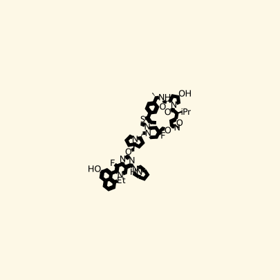 CCc1cccc2cc(O)cc(-c3ncc4c(N5CC6CCC(C5)N6)nc(OC[C@@]56CCCN5[C@H](CN5CCC(F)(COc7cc([C@@H](C(=O)N8C[C@H](O)C[C@H]8C(=O)N[C@@H](C)c8ccc(-c9scnc9C)cc8)C(C)C)on7)CC5)CC6)nc4c3F)c12